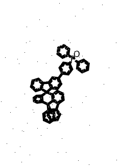 O=P(c1ccccc1)(c1ccccc1)c1ccc(-c2ccc3c(c2)-c2ccccc2C32c3ccccc3C3(c4ccccc4)c4ccccc4-c4cccc2c43)cc1